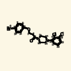 O=C(CCOc1ccc(Br)cc1)N1CCN(c2cccc(Cl)c2Cl)CC1